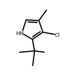 Cc1c[nH]c(C(C)(C)C)c1Cl